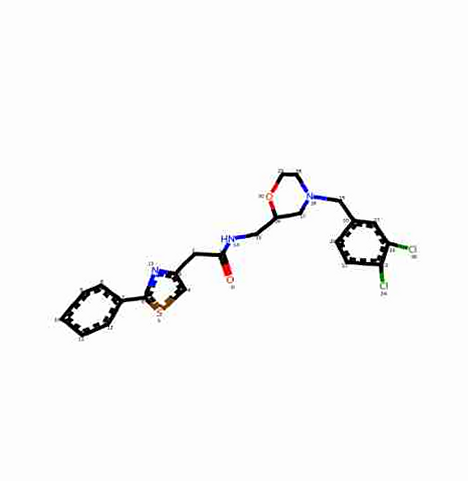 O=C(Cc1csc(-c2ccccc2)n1)NCC1CN(Cc2ccc(Cl)c(Cl)c2)CCO1